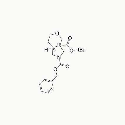 CC(C)(C)OC(=O)[C@@]12COCC[C@@H]1CN(C(=O)OCc1ccccc1)C2